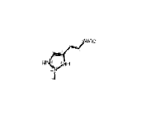 CNCCC1=CNN(C)N1